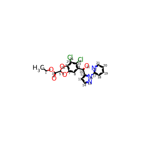 CCOC(=O)C1Oc2cc(C(=O)c3ccnn3-c3ccccn3)c(Cl)c(Cl)c2O1